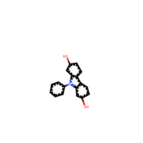 Oc1ccc2c3ccc(O)cc3n(-c3ccccc3)c2c1